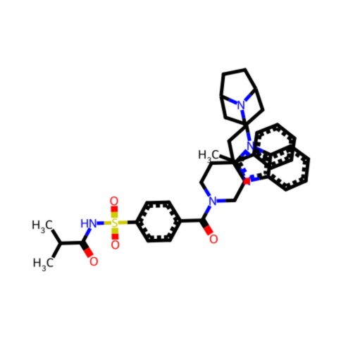 Cc1nc2ccccc2n1C1CC2CCC(C1)N2CCC1(c2ccccc2)CCN(C(=O)c2ccc(S(=O)(=O)NC(=O)C(C)C)cc2)CC1